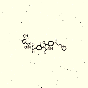 Cc1ccc(S(=O)(=O)NC(=O)Nc2ccc(-n3c(=O)[nH]c4cc(NCCN5CCCC5)ccc4c3=O)c(F)c2)s1